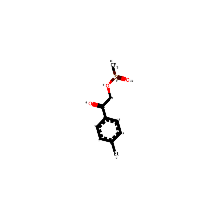 CCc1ccc(C(=O)COS(=O)C(F)(F)F)cc1